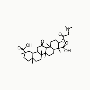 CN(C)CC(=O)OC1CCC2(C)C(CCC3(C)C2C(=O)C=C2C4CC(C)(C(=O)O)CCC4(C)CCC23C)C1(C)C(=O)O